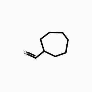 O=[C]C1CCCCCC1